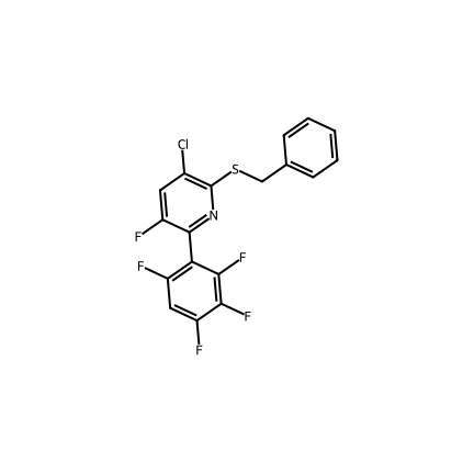 Fc1cc(Cl)c(SCc2ccccc2)nc1-c1c(F)cc(F)c(F)c1F